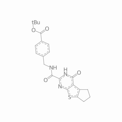 CC(C)(C)OC(=O)c1ccc(CNC(=O)c2nc3sc4c(c3c(=O)[nH]2)CCC4)cc1